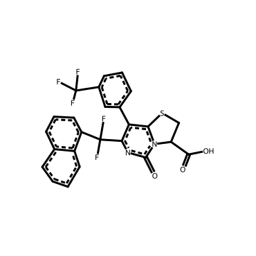 O=C(O)C1CSc2c(-c3cccc(C(F)(F)F)c3)c(C(F)(F)c3cccc4ccccc34)nc(=O)n21